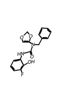 O=C(Nc1cccc(F)c1O)N(Cc1ccccc1)C1=COCO1